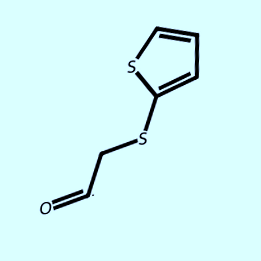 O=[C]CSc1cccs1